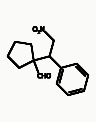 O=CC1(C(C[N+](=O)[O-])c2ccccc2)CCCC1